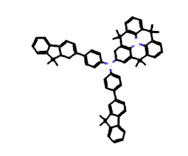 CC1(C)C2=CC(N(c3ccc(C4=CC=C5c6ccccc6C(C)(C)C5C4)cc3)c3ccc(-c4ccc5c(c4)C(C)(C)c4ccccc4-5)cc3)CC3=C2N2c4c1cccc4C(C)(C)c1cccc(c12)C3(C)C